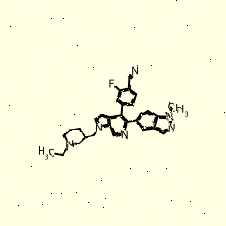 CCN1CCCC(Cn2ccc3c(-c4ccc(C#N)c(F)c4)c(-c4ccc5c(cnn5C)c4)ncc32)C1